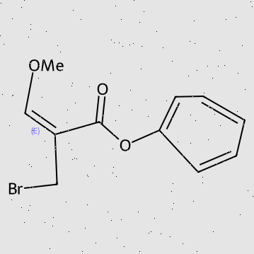 CO/C=C(/CBr)C(=O)Oc1ccccc1